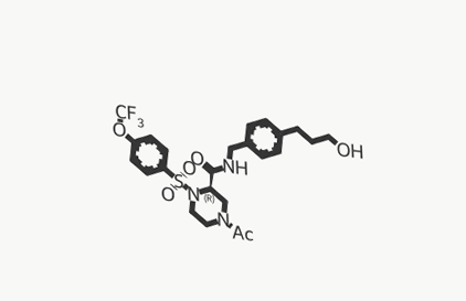 CC(=O)N1CCN(S(=O)(=O)c2ccc(OC(F)(F)F)cc2)[C@@H](C(=O)NCc2ccc(CCCO)cc2)C1